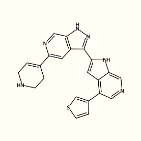 C1=C(c2cc3c(-c4cc5c(-c6ccsc6)cncc5[nH]4)n[nH]c3cn2)CCNC1